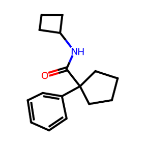 O=C(NC1CCC1)C1(c2ccccc2)CCCC1